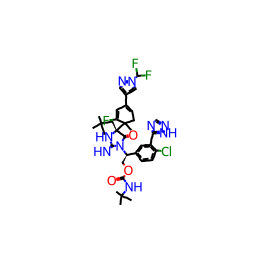 CC(C)(C)C[C@]1(C2(C)CC=C(c3cnn(C(F)F)c3)C=C2F)NC(=N)N([C@H](COC(=O)NC(C)(C)C)c2ccc(Cl)c(-c3ncn[nH]3)c2)C1=O